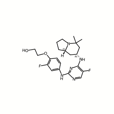 CC1(C)C[C@H](Nc2nc(Nc3ccc(OCCO)c(F)c3)ncc2F)C[C@@H]2CCCN21